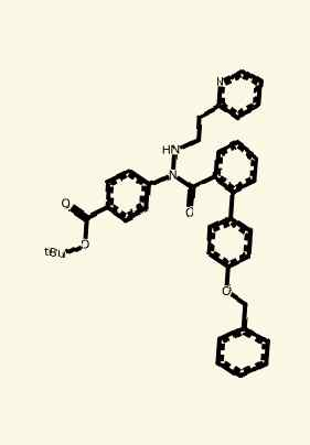 CC(C)(C)OC(=O)c1ccc(N(NCCc2ccccn2)C(=O)c2ccccc2-c2ccc(OCc3ccccc3)cc2)cc1